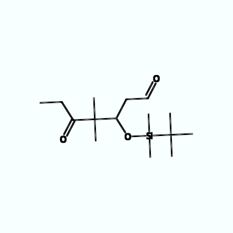 CCC(=O)C(C)(C)C(CC=O)O[Si](C)(C)C(C)(C)C